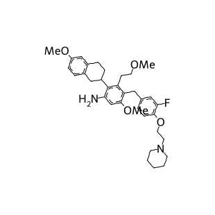 COCCc1c(Cc2ccc(OCCN3CCCCC3)c(F)c2)c(OC)cc(N)c1C1CCc2cc(OC)ccc2C1